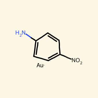 Nc1ccc([N+](=O)[O-])cc1.[Au]